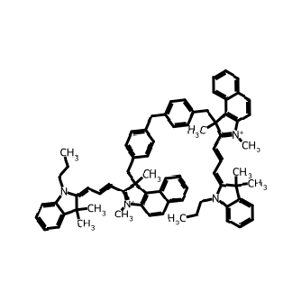 CCCN1/C(=C/C=C/C2=[N+](C)c3ccc4ccccc4c3C2(C)Cc2ccc(Cc3ccc(CC4(C)C(/C=C/C=C5/N(CCC)c6ccccc6C5(C)C)=[N+](C)c5ccc6ccccc6c54)cc3)cc2)C(C)(C)c2ccccc21